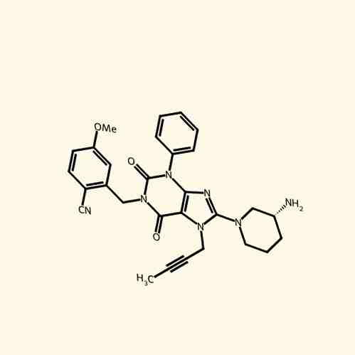 CC#CCn1c(N2CCC[C@@H](N)C2)nc2c1c(=O)n(Cc1cc(OC)ccc1C#N)c(=O)n2-c1ccccc1